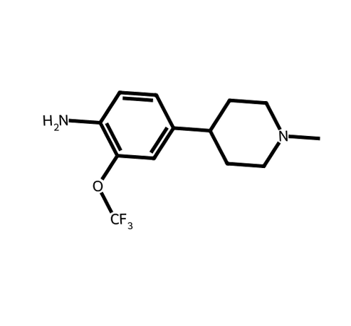 CN1CCC(c2ccc(N)c(OC(F)(F)F)c2)CC1